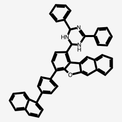 c1ccc(C2=NC(c3ccccc3)NC(c3ccc(-c4ccc(-c5cccc6ccccc56)cc4)c4oc5cc6ccccc6cc5c34)N2)cc1